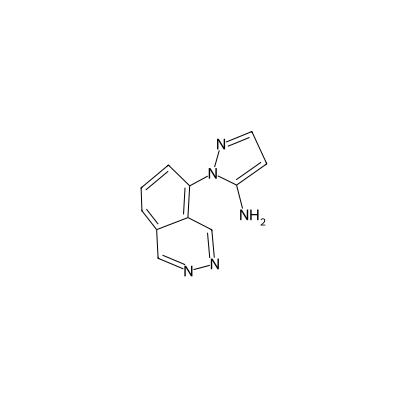 Nc1ccnn1-c1cccc2cnncc12